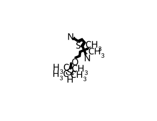 CC(C)C(C#N)(CCCOCC(C)(C)[SiH](C)C)c1ccc(C#N)s1